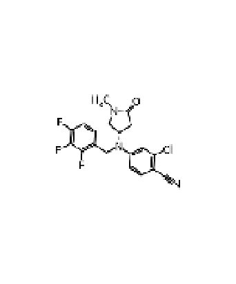 CN1C[C@@H](N(Cc2ccc(F)c(F)c2F)c2ccc(C#N)c(Cl)c2)CC1=O